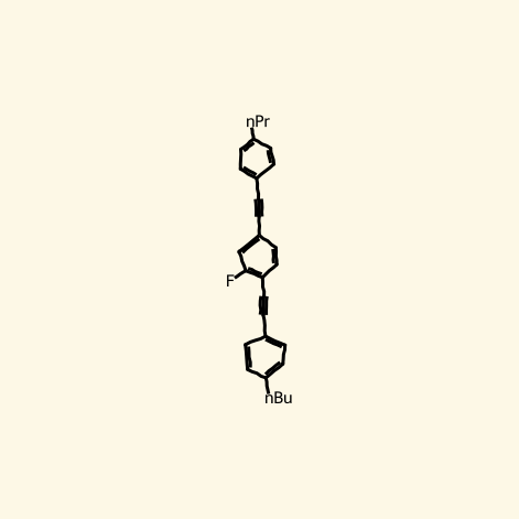 CCCCc1ccc(C#Cc2ccc(C#Cc3ccc(CCC)cc3)cc2F)cc1